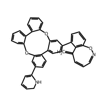 C=C1/C=C\C=N/Oc2cccc(-c3ccc4c(c3)Oc3ccccc3-c3ccccc3Oc3cc(C5=CC=CCN5)ccc3-4)c21